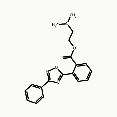 CN(C)CCOC(=O)c1ccccc1-c1nc(-c2ccccc2)no1